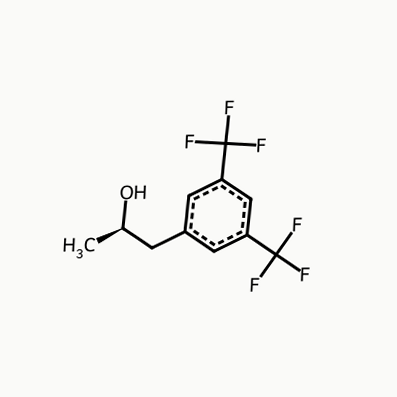 C[C@@H](O)Cc1cc(C(F)(F)F)cc(C(F)(F)F)c1